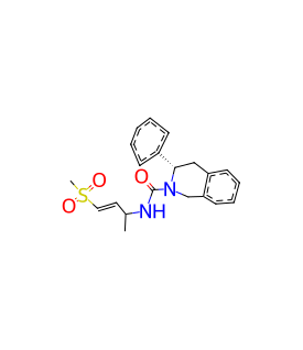 CC(/C=C/S(C)(=O)=O)NC(=O)N1Cc2ccccc2C[C@H]1c1ccccc1